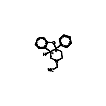 N#CCN1CC[C@@]2(c3ccccc3)Oc3ccccc3[C@H]2C1